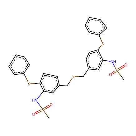 CS(=O)(=O)Nc1cc(CSCc2ccc(Sc3ccccc3)c(NS(C)(=O)=O)c2)ccc1Sc1ccccc1